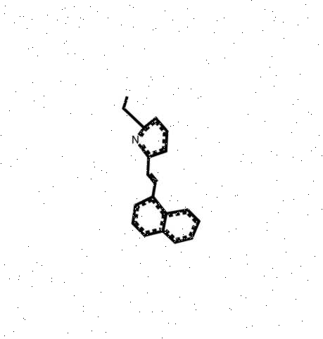 CCc1cccc(C=Cc2cccc3ccccc23)n1